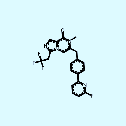 Cn1c(Cc2ccc(-c3cccc(F)n3)cc2)cn2c(CC(F)(F)F)ncc2c1=O